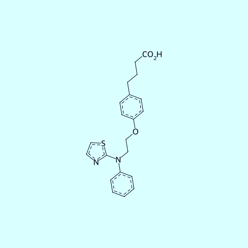 O=C(O)CCCc1ccc(OCCN(c2ccccc2)c2nccs2)cc1